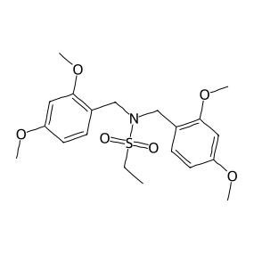 CCS(=O)(=O)N(Cc1ccc(OC)cc1OC)Cc1ccc(OC)cc1OC